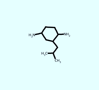 CC(C)CC1CC(N)CCC1N